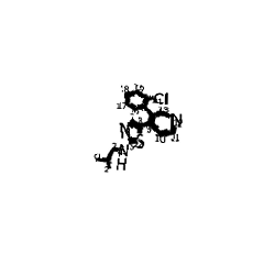 CC(C)CNc1ncc(-c2ccncc2-c2ccccc2Cl)s1